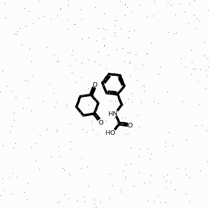 O=C(O)NCc1ccccc1.O=C1CCCC(=O)C1